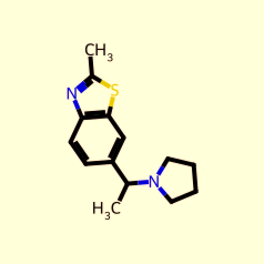 Cc1nc2ccc(C(C)N3CCCC3)cc2s1